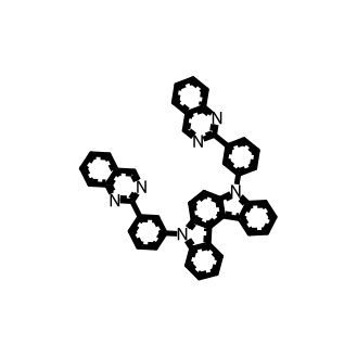 c1cc(-c2ncc3ccccc3n2)cc(-n2c3ccccc3c3c4c5ccccc5n(-c5cccc(-c6ncc7ccccc7n6)c5)c4ccc32)c1